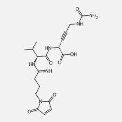 CC(C)[C@H](NC(=N)CCCN1C(=O)C=CC1=O)C(=O)NC(C#CCNC(N)=O)C(=O)O